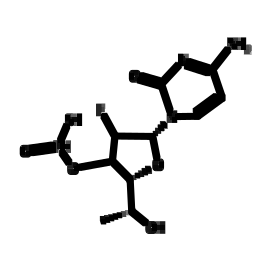 C[C@@H](O)[C@H]1O[C@@H](n2ccc(N)nc2=O)C(F)C1O[PH](=O)S